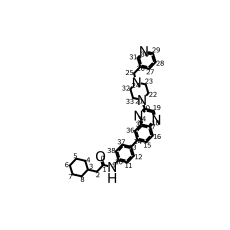 O=C(CC1CCCCC1)Nc1ccc(-c2ccc3ncc(N4CCN(Cc5cccnc5)CC4)nc3c2)cc1